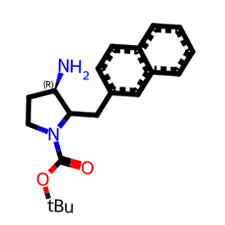 CC(C)(C)OC(=O)N1CC[C@@H](N)C1Cc1ccc2ccccc2c1